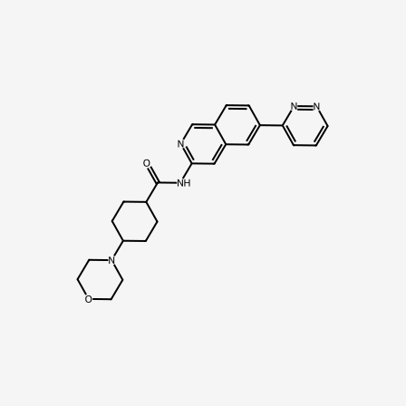 O=C(Nc1cc2cc(-c3cccnn3)ccc2cn1)C1CCC(N2CCOCC2)CC1